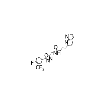 O=C(CCCc1ccc2cccnc2n1)NCc1nnc(-c2ccc(F)c(C(F)(F)F)c2)o1